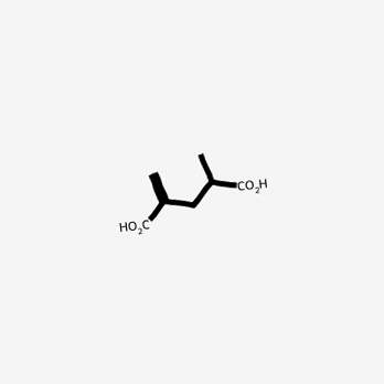 C=C(CC(C)C(=O)O)C(=O)O